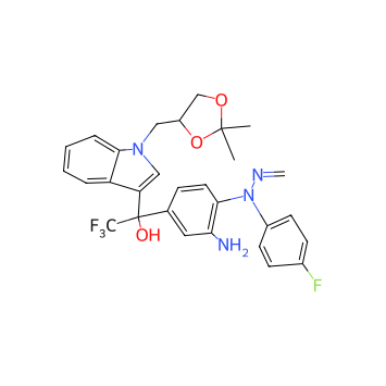 C=NN(c1ccc(F)cc1)c1ccc(C(O)(c2cn(CC3COC(C)(C)O3)c3ccccc23)C(F)(F)F)cc1N